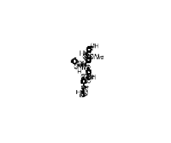 COc1ccc(-c2sc(NS(C)(=O)=O)nc2C)cc1S(=O)(=O)Nc1ccc(Oc2nc(NS(=O)(=O)C3CCCCC3)sc2-c2ccc(OC)c(S(=O)(=O)Nc3ccc(O)cc3)c2)cc1